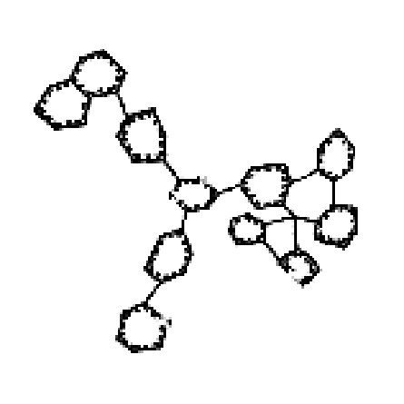 c1ccc(-c2ccc(-c3cc(-c4ccc5c(c4)C4(c6ccccc6-c6ccccc6-5)c5ccccc5-c5ccccc54)nc(-c4ccc(-c5cccc6ccccc56)cc4)n3)cc2)nc1